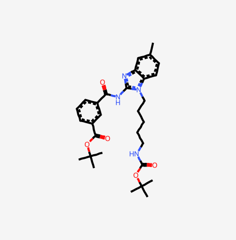 Cc1ccc2c(c1)nc(NC(=O)c1cccc(C(=O)OC(C)(C)C)c1)n2CCCCCNC(=O)OC(C)(C)C